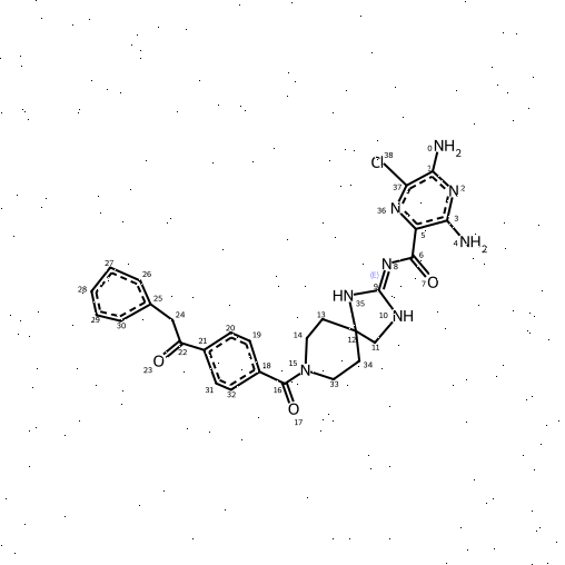 Nc1nc(N)c(C(=O)/N=C2\NCC3(CCN(C(=O)c4ccc(C(=O)Cc5ccccc5)cc4)CC3)N2)nc1Cl